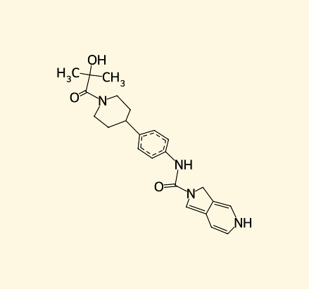 CC(C)(O)C(=O)N1CCC(c2ccc(NC(=O)N3C=C4C=CNC=C4C3)cc2)CC1